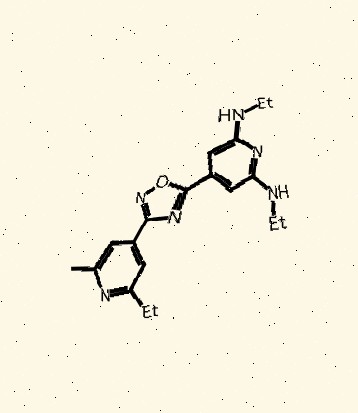 CCNc1cc(-c2nc(-c3cc(C)nc(CC)c3)no2)cc(NCC)n1